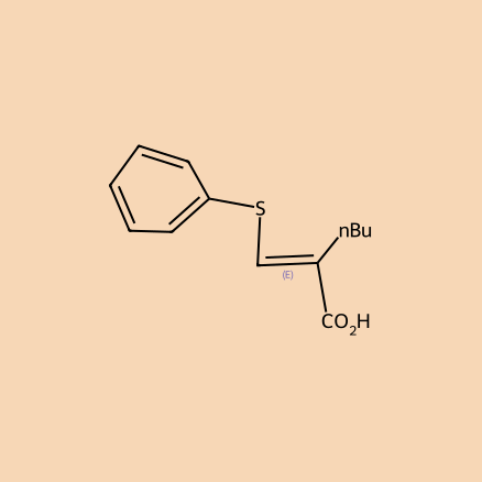 CCCC/C(=C\Sc1ccccc1)C(=O)O